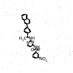 CC(Nc1nccc(NS(=O)(=O)c2cccc([N+](=O)[O-])c2)n1)c1ccc(-c2ccc3ccccc3c2)cc1